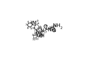 CN(C)[C@]1(c2ccccc2)CC[C@@]2(CC1)CN(CC(=O)NCC(N)=O)C(=O)N2CC1(O)CCC1